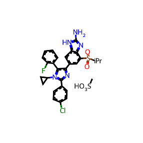 CC(C)S(=O)(=O)c1cc(-c2nc(-c3ccc(Cl)cc3)n(C3CC3)c2-c2ccccc2F)cc2[nH]c(N)nc12.CS(=O)(=O)O